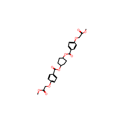 COC(=O)COc1ccc(C(=O)OC2CCC(OC(=O)c3ccc(OCC(=O)OC)cc3)CC2)cc1